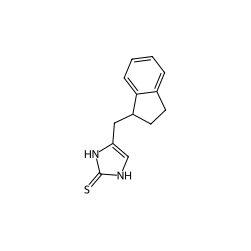 S=c1[nH]cc(CC2CCc3ccccc32)[nH]1